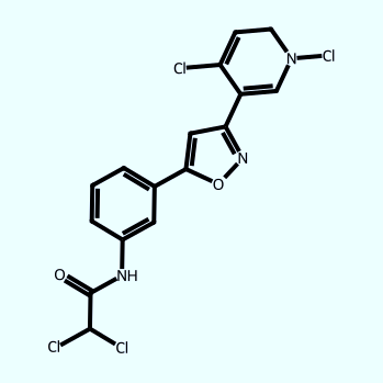 O=C(Nc1cccc(-c2cc(C3=CN(Cl)CC=C3Cl)no2)c1)C(Cl)Cl